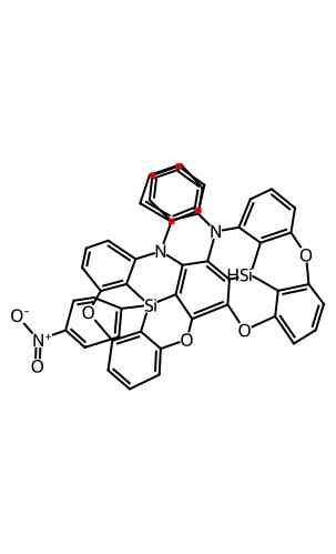 O=[N+]([O-])c1ccc([Si]23c4c5cccc4Oc4c6c7c(c(c42)N(c2ccccc2)c2cccc(c23)O5)N(c2ccccc2)c2cccc3c2[SiH]7c2c(cccc2O6)O3)cc1